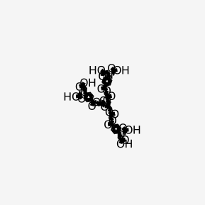 O=C(O)CN(CC(=O)O)c1ccc(C(=O)OCC(=O)OCC(COC(=O)COC(=O)c2ccc(N(CC(=O)O)CC(=O)O)cc2)OC(=O)COC(=O)c2ccc(N(CC(=O)O)CC(=O)O)cc2)cc1